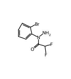 NN(C(=O)C(F)F)c1ccccc1Br